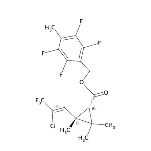 Cc1c(F)c(F)c(COC(=O)[C@@H]2C(C)(C)[C@]2(C)/C=C(\Cl)C(F)(F)F)c(F)c1F